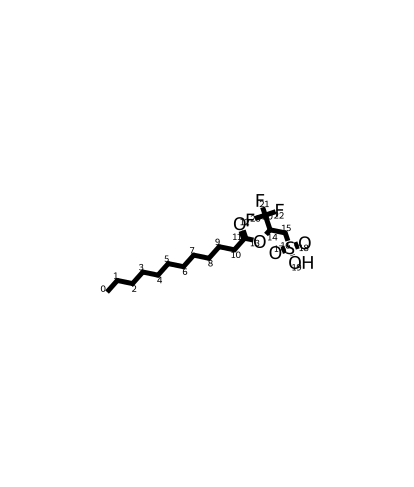 CCCCCCCCCCCC(=O)OC(CS(=O)(=O)O)C(F)(F)F